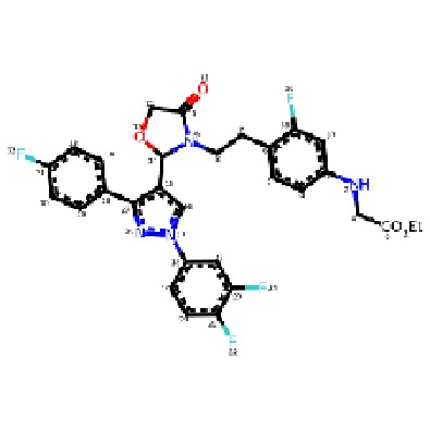 CCOC(=O)CNc1ccc(CCN2C(=O)COC2c2cn(-c3ccc(F)c(F)c3)nc2-c2ccc(F)cc2)c(F)c1